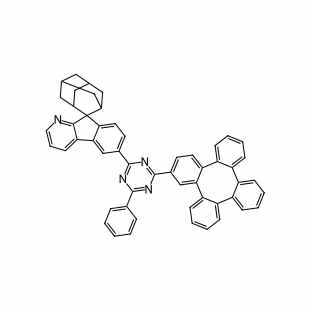 c1ccc(-c2nc(-c3ccc4c(c3)-c3ccccc3-c3ccccc3-c3ccccc3-4)nc(-c3ccc4c(c3)-c3cccnc3C43C4CC5CC(C4)CC3C5)n2)cc1